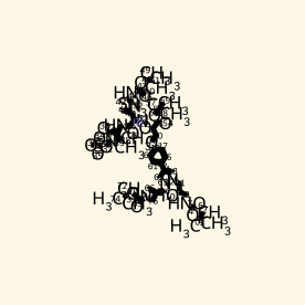 CC(C)(C)OC(=O)NCC(O)Cn1cc(-c2ccc(OCC(O/N=C(\C(=O)NC3C(=O)N(OS(=O)(=O)[O-])C3(C)C)c3csc(NC(=O)OC(C)(C)C)n3)C(=O)OC(C)(C)C)cc2)c[n+]1CC1CN(C(=O)OC(C)(C)C)C1